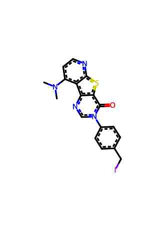 CN(C)c1ccnc2sc3c(=O)n(-c4ccc(CI)cc4)cnc3c12